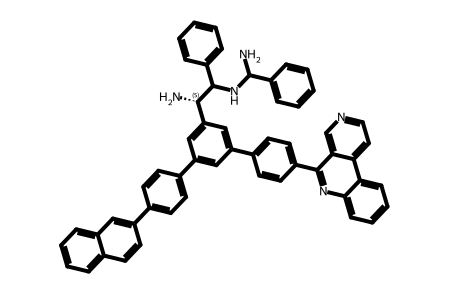 NC(NC(c1ccccc1)[C@@H](N)c1cc(-c2ccc(-c3ccc4ccccc4c3)cc2)cc(-c2ccc(-c3nc4ccccc4c4ccncc34)cc2)c1)c1ccccc1